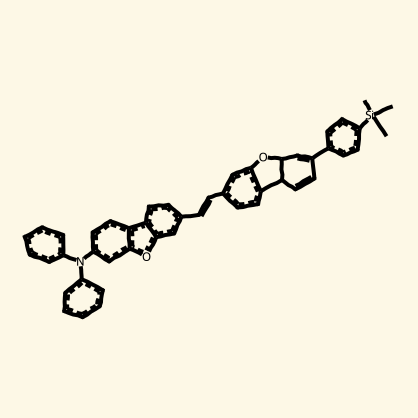 C[Si](C)(C)c1ccc(C2=CC3Oc4cc(/C=C/c5ccc6c(c5)oc5cc(N(c7ccccc7)c7ccccc7)ccc56)ccc4C3C=C2)cc1